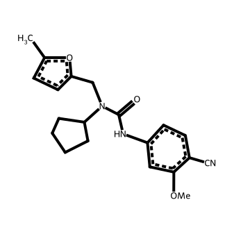 COc1cc(NC(=O)N(Cc2ccc(C)o2)C2CCCC2)ccc1C#N